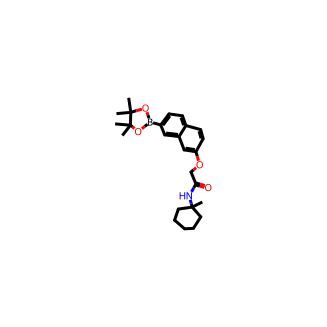 CC1(NC(=O)COc2ccc3ccc(B4OC(C)(C)C(C)(C)O4)cc3c2)CCCCC1